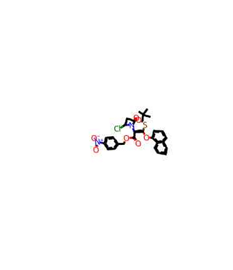 CC(C)(C)C(=O)SC(Oc1cccc2ccccc12)=C(C(=O)OCc1ccc([N+](=O)[O-])cc1)N1C(=O)CC1Cl